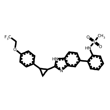 CS(=O)(=O)Nc1ccccc1-c1ccc2[nH]c(C3CC3c3ccc(OCC(F)(F)F)cc3)nc2c1